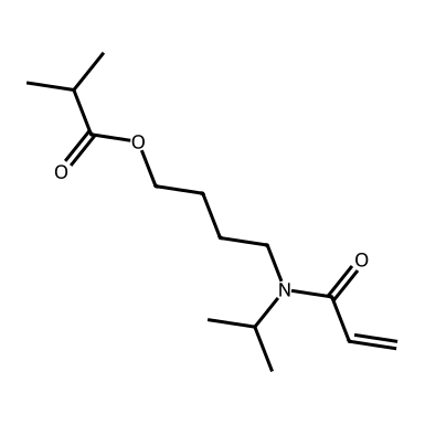 C=CC(=O)N(CCCCOC(=O)C(C)C)C(C)C